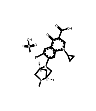 CN1C[C@@H]2C[C@H]1CN2c1cc2c(cc1F)c(=O)c(C(=O)O)cn2C1CC1.CS(=O)(=O)O